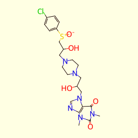 Cn1c(=O)c2c(ncn2CC(O)CN2CCN(CC(O)C[S+]([O-])c3ccc(Cl)cc3)CC2)n(C)c1=O